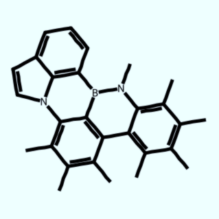 Cc1c(C)c(C)c2c(c1C)-c1c(C)c(C)c(C)c3c1B(c1cccc4ccn-3c14)N2C